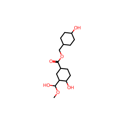 COC(O)C1CC(C(=O)OCC2CCC(O)CC2)CCC1O